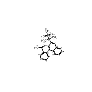 CC(C)(c1cc(-c2ccccc2C(=O)O)c2ncccc2c1)S(C)(=O)=O